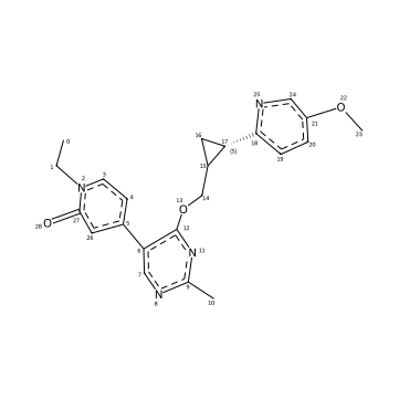 CCn1ccc(-c2cnc(C)nc2OCC2C[C@@H]2c2ccc(OC)cn2)cc1=O